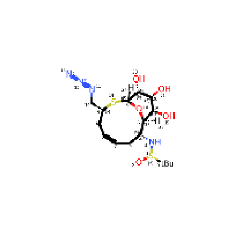 CC(C)(C)[S@@+]([O-])N[C@@H]1CC=CC[C@@H](CN=[N+]=[N-])S[C@H]2O[C@H]1[C@H](O)[C@H](O)[C@H]2O